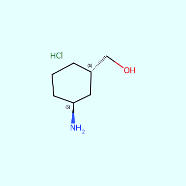 Cl.N[C@H]1CCC[C@H](CO)C1